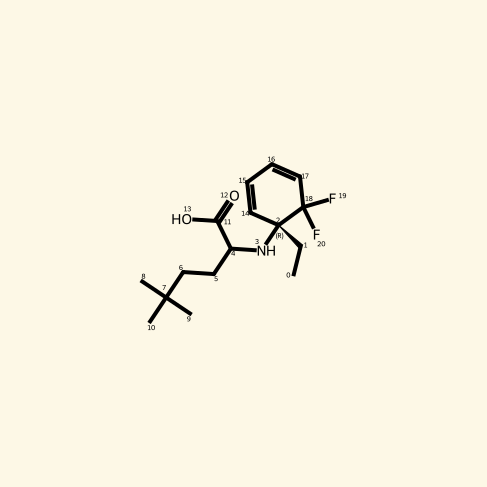 CC[C@@]1(NC(CCC(C)(C)C)C(=O)O)C=CC=CC1(F)F